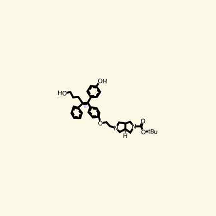 CC(C)(C)OC(=O)N1CC2CN(CCOc3ccc(/C(=C(/CCCO)c4ccccc4)c4ccc(O)cc4)cc3)C[C@@H]2C1